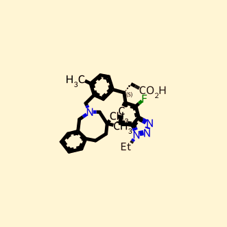 CCn1nnc2c(F)c([C@@H](CC(=O)O)c3ccc(C)c(CN4Cc5ccccc5CCC(C)(C)C4)c3)ccc21